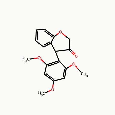 COc1cc(OC)c(C2C(=O)COc3ccccc32)c(OC)c1